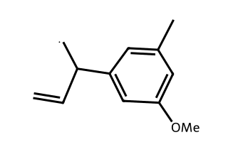 [CH2]C(C=C)c1cc(C)cc(OC)c1